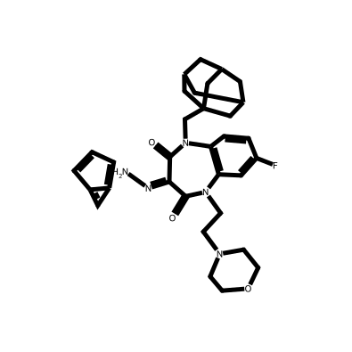 NN=c1c(=O)n(CCN2CCOCC2)c2cc(F)ccc2n(CC23CC4CC(CC(C4)C2)C3)c1=O.c1cc2cc-2c1